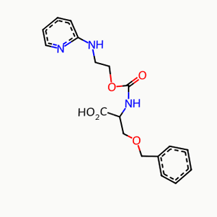 O=C(NC(COCc1ccccc1)C(=O)O)OCCNc1ccccn1